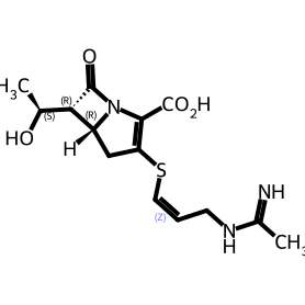 CC(=N)NC/C=C\SC1=C(C(=O)O)N2C(=O)[C@@H]([C@H](C)O)[C@H]2C1